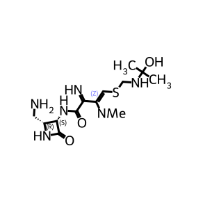 CN/C(=C\SCNC(C)(C)O)C(=N)C(=O)N[C@@H]1C(=O)N[C@@H]1CN